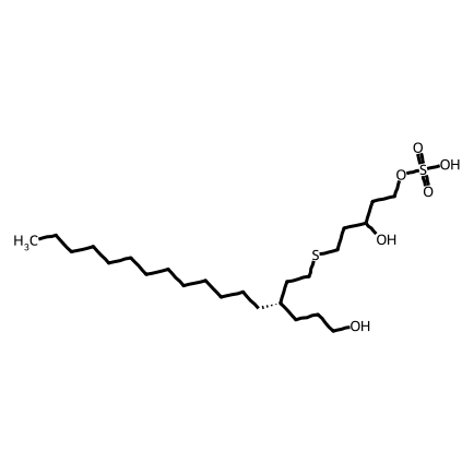 CCCCCCCCCCCCC[C@@H](CCCO)CCSCCC(O)CCOS(=O)(=O)O